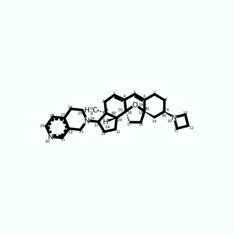 C[C@]12CC=C3C=C4CC[C@@H](N5CCC5)C[C@]45CC[C@]3(O5)[C@@H]1CCC2N1CCc2ccncc2C1